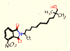 CCC(CCCCCCCCC(C)(C)CO)N1C(=O)c2cccc([N+](=O)[O-])c2C1=O